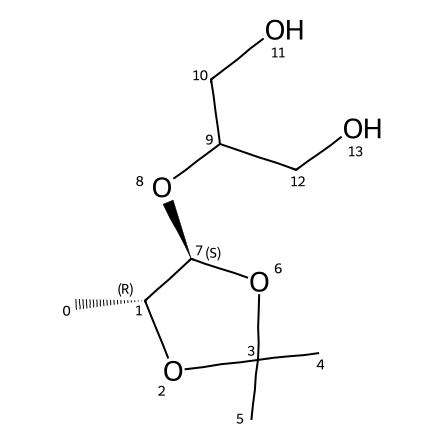 C[C@H]1OC(C)(C)O[C@@H]1OC(CO)CO